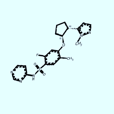 Cc1cc(S(=O)(=O)Nc2ccncn2)c(F)cc1O[C@H]1CCC[C@@H]1c1ccnn1C